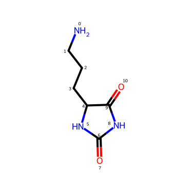 NCCCC1NC(=O)NC1=O